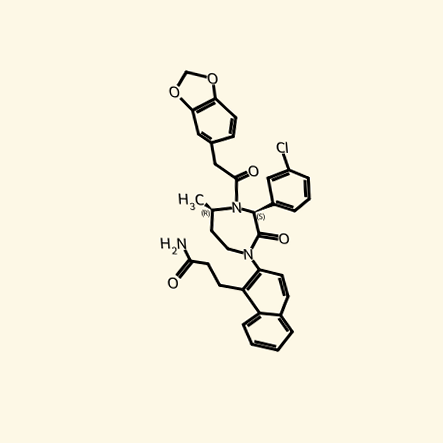 C[C@@H]1CCN(c2ccc3ccccc3c2CCC(N)=O)C(=O)[C@H](c2cccc(Cl)c2)N1C(=O)Cc1ccc2c(c1)OCO2